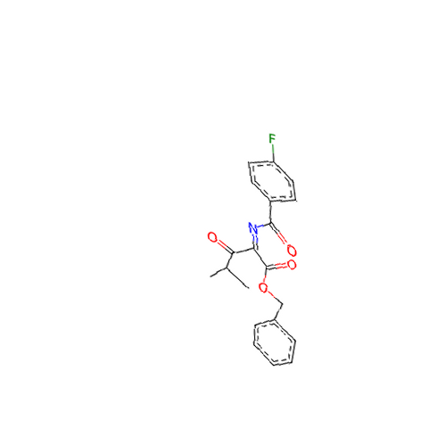 CC(C)C(=O)C(=NC(=O)c1ccc(F)cc1)C(=O)OCc1ccccc1